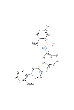 COc1ccccc1N1CCN(CC2=C/CC/C=C(N[S+]([O-])c3cc(Cl)ccc3OC)/C=C\2)CC1